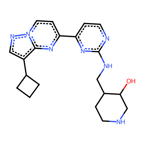 OC1CNCCC1CNc1nccc(-c2ccn3ncc(C4CCC4)c3n2)n1